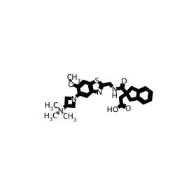 COc1cc2sc(CNC(=O)C3(CC(=O)O)Cc4ccccc4C3)nc2cc1N1CC([N+](C)(C)C)C1